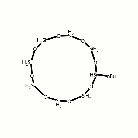 CCCC[SiH]1O[SiH2]O[SiH2]O[SiH2]O[SiH2]O[SiH2]O[SiH2]O[SiH2]O1